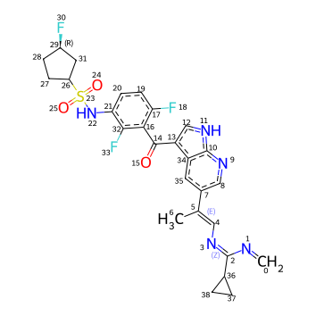 C=N/C(=N\C=C(/C)c1cnc2[nH]cc(C(=O)c3c(F)ccc(NS(=O)(=O)C4CC[C@@H](F)C4)c3F)c2c1)C1CC1